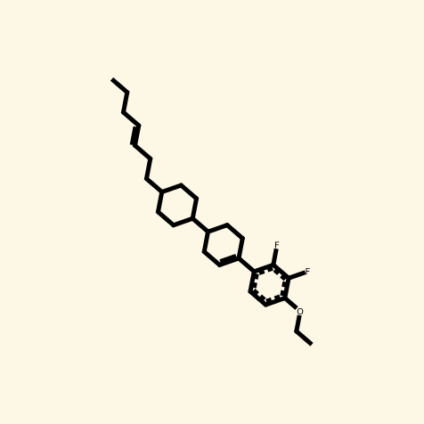 CCC/C=C/CCC1CCC(C2CC=C(c3ccc(OCC)c(F)c3F)CC2)CC1